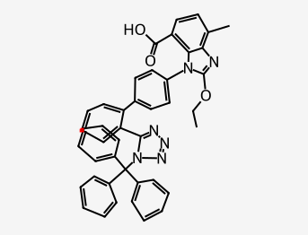 CCOc1nc2c(C)ccc(C(=O)O)c2n1-c1ccc(-c2ccccc2-c2nnnn2C(c2ccccc2)(c2ccccc2)c2ccccc2)cc1